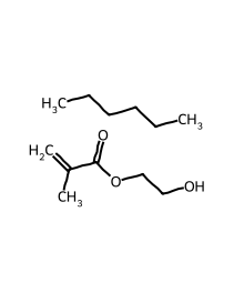 C=C(C)C(=O)OCCO.CCCCCC